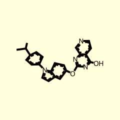 CC(C)c1ccc(-n2ccc3cc(Oc4nc(O)c5ccncc5n4)ccc32)cc1